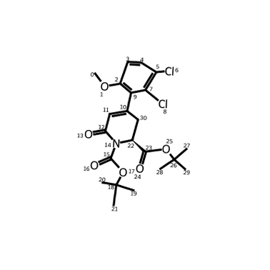 COc1ccc(Cl)c(Cl)c1C1=CC(=O)N(C(=O)OC(C)(C)C)[C@H](C(=O)OC(C)(C)C)C1